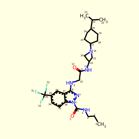 CCCNC(=O)n1nc(NCC(=O)NC2CN(C3CCC(C(C)C)CC3)C2)c2cc(C(F)(F)F)ccc21